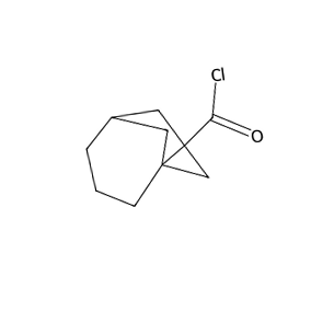 O=C(Cl)C12CC3CCCC1(C3)C2